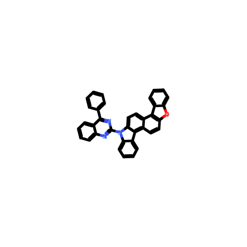 c1ccc(-c2nc(-n3c4ccccc4c4c5ccc6oc7ccccc7c6c5ccc43)nc3ccccc23)cc1